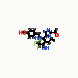 CC(=O)c1ncc2n1C(C)CC(C(=N)C(F)(F)F)=C2NCc1ccc(O)cc1